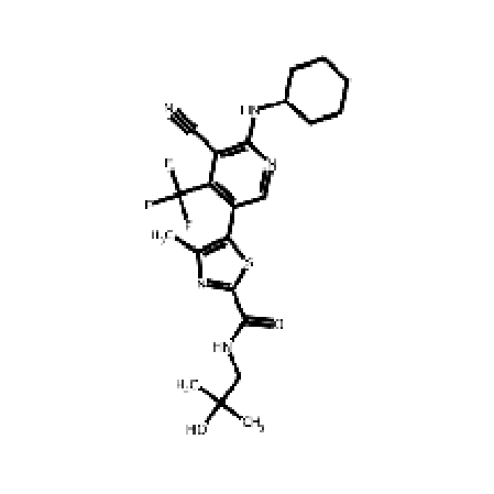 Cc1nc(C(=O)NCC(C)(C)O)sc1-c1cnc(NC2CCCCC2)c(C#N)c1C(F)(F)F